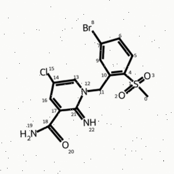 CS(=O)(=O)c1ccc(Br)cc1Cn1cc(Cl)cc(C(N)=O)c1=N